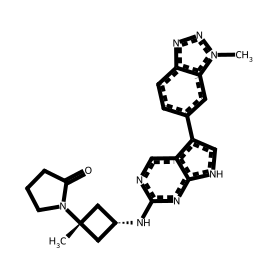 Cn1nnc2ccc(-c3c[nH]c4nc(N[C@H]5C[C@@](C)(N6CCCC6=O)C5)ncc34)cc21